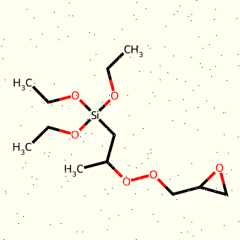 CCO[Si](CC(C)OOCC1CO1)(OCC)OCC